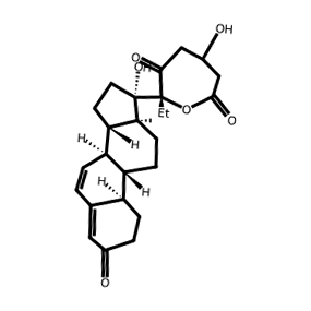 CC[C@]1([C@]2(O)CC[C@H]3[C@@H]4C=CC5=CC(=O)CC[C@@H]5[C@H]4CC[C@@]32C)OC(=O)CC(O)CC1=O